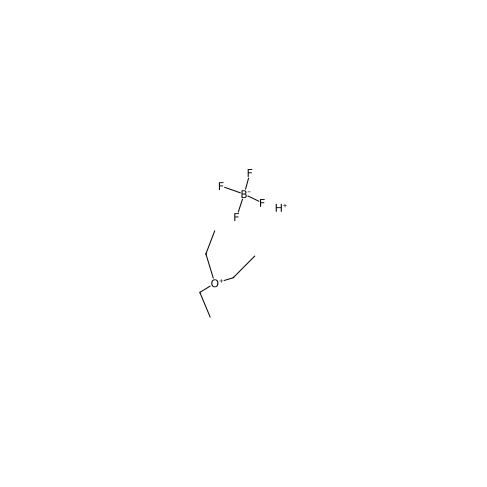 CC[O+](CC)CC.F[B-](F)(F)F.[H+]